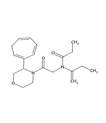 C=C(CC)N(CC(=O)N1CCOCC1C1=CCC=CC=C1)C(=O)CC